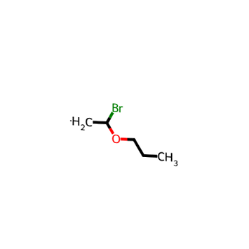 [CH2]C(Br)OCCC